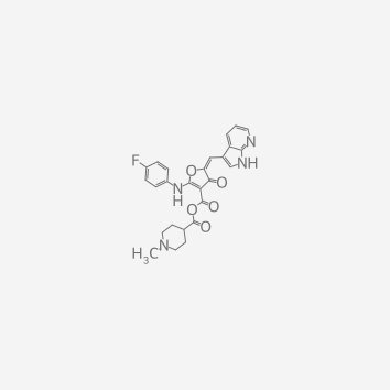 CN1CCC(C(=O)OC(=O)C2=C(Nc3ccc(F)cc3)OC(=Cc3c[nH]c4ncccc34)C2=O)CC1